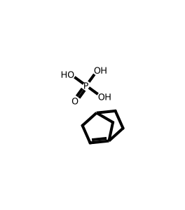 C1=C2CCC(C1)C2.O=P(O)(O)O